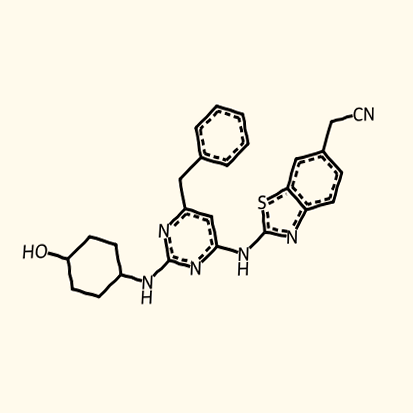 N#CCc1ccc2nc(Nc3cc(Cc4ccccc4)nc(NC4CCC(O)CC4)n3)sc2c1